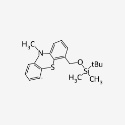 CN1c2ccc[c]c2Sc2c(CO[Si](C)(C)C(C)(C)C)cccc21